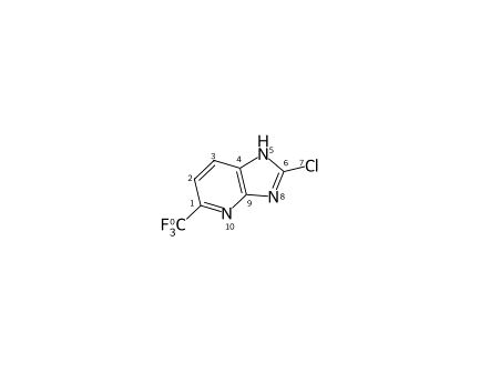 FC(F)(F)c1ccc2[nH]c(Cl)nc2n1